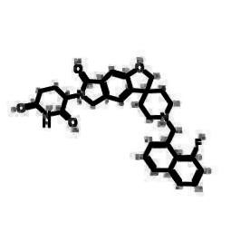 O=C1CCC(N2Cc3cc4c(cc3C2=O)OCC42CCN(Cc3cccc4cccc(F)c34)CC2)C(=O)N1